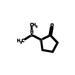 C[SH](C)N1CCCC1=O